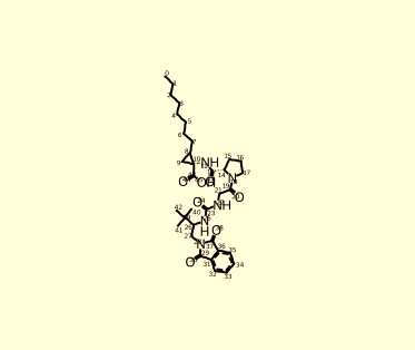 CCCCCCCCC1C[C@]1(NC(=O)[C@@H]1CCCN1C(=O)CNC(=O)NC(CN1C(=O)c2ccccc2C1=O)C(C)(C)C)C(=O)O